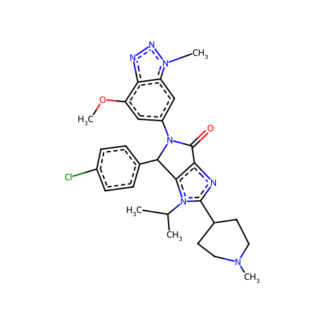 COc1cc(N2C(=O)c3nc(C4CCN(C)CC4)n(C(C)C)c3C2c2ccc(Cl)cc2)cc2c1nnn2C